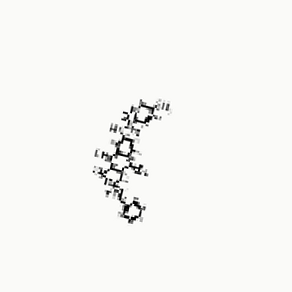 CCC[C@@]1(CCc2ccccc2)CC(OC(C)(C)C)=C([C@H](CC)c2cccc(NS(=O)(=O)c3ccc(C)cn3)c2)C(=O)O1